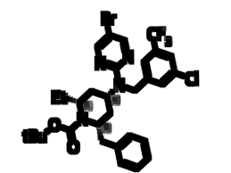 CC[C@@H]1C[C@H](N(Cc2cc(Cl)cc(C(F)(F)F)c2)c2ncc(Br)cn2)C[C@H](Cc2ccccc2)N1C(=O)OC(C)(C)C